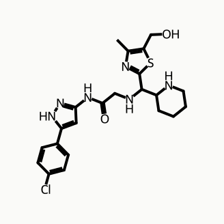 Cc1nc(C(NCC(=O)Nc2cc(-c3ccc(Cl)cc3)[nH]n2)C2CCCCN2)sc1CO